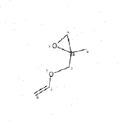 C=COCC1(C)CO1